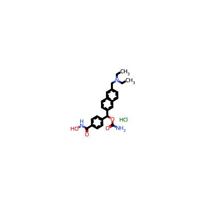 CCN(CC)Cc1ccc2cc(C(OC(N)=O)c3ccc(C(=O)NO)cc3)ccc2c1.Cl